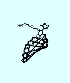 COCCOCCN1CC23Cc4cc5cc6cc7cc8cc9c%10c%11c%12c(c%13c2c4c2c5c4c6c7c5c8c%10c6c%12c%13c2c4c56)=C(CC=%11C9)C3C1c1ccccc1C